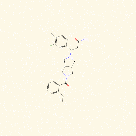 CCc1ccccc1C(=O)N1CC2CN(C(CC(N)=O)c3ccc(C)c(Cl)c3)CC2C1